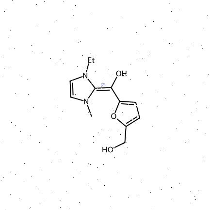 CCN1C=CN(C)/C1=C(/O)c1ccc(CO)o1